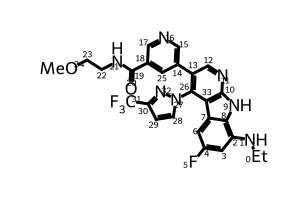 CCNc1cc(F)cc2c1[nH]c1ncc(-c3cncc(C(=O)NCCOC)c3)c(-n3ccc(C(F)(F)F)n3)c12